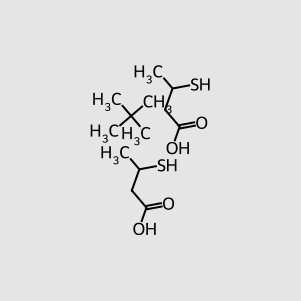 CC(C)(C)C.CC(S)CC(=O)O.CC(S)CC(=O)O